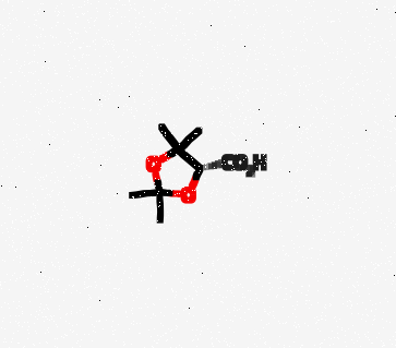 CC1(C)O[C@@H](C(=O)O)C(C)(C)O1